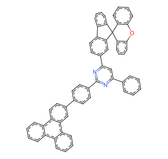 c1ccc(-c2cc(-c3ccc4c(c3)C3(c5ccccc5Oc5ccccc53)c3ccccc3-4)nc(-c3ccc(-c4ccc5c6ccccc6c6ccccc6c5c4)cc3)n2)cc1